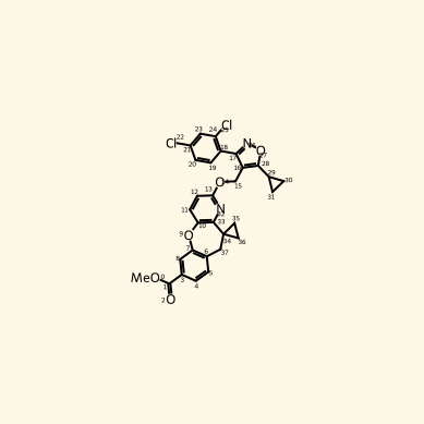 COC(=O)c1ccc2c(c1)Oc1ccc(OCc3c(-c4ccc(Cl)cc4Cl)noc3C3CC3)nc1C1(CC1)C2